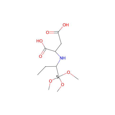 CCC(NC(CC(=O)O)C(=O)O)[Si](OC)(OC)OC